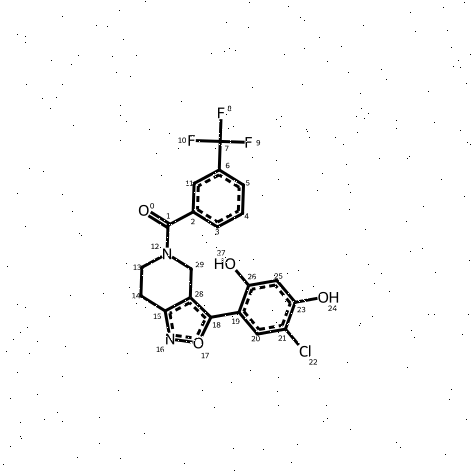 O=C(c1cccc(C(F)(F)F)c1)N1CCc2noc(-c3cc(Cl)c(O)cc3O)c2C1